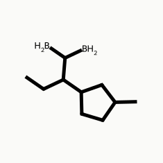 BC(B)C(CC)C1CCC(C)C1